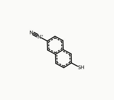 N#[N+]c1ccc2cc(S)ccc2c1